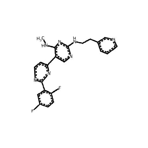 CNc1nc(NCCc2cccnc2)ncc1-c1ccnc(-c2cc(F)ccc2F)n1